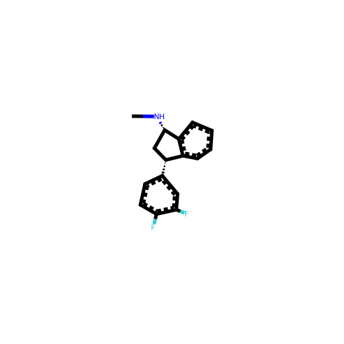 CN[C@H]1C[C@@H](c2ccc(F)c(F)c2)c2ccccc21